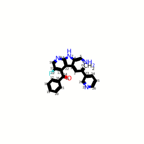 C=C(/C=c1\c(=C/N)[nH]c2ncc(F)c(C(=O)c3ccccc3)c12)c1cccnc1